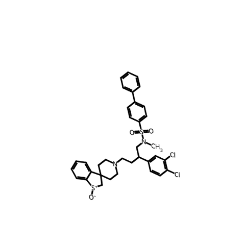 CN(CC(CCN1CCC2(CC1)C[S+]([O-])c1ccccc12)c1ccc(Cl)c(Cl)c1)S(=O)(=O)c1ccc(-c2ccccc2)cc1